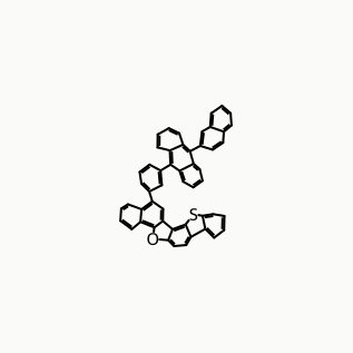 c1cc(-c2c3ccccc3c(-c3ccc4ccccc4c3)c3ccccc23)cc(-c2cc3c(oc4ccc5c6ccccc6sc5c43)c3ccccc23)c1